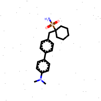 CN(C)c1ccc(-c2ccc(CC3(S(N)(=O)=O)CCCCC3)cc2)cc1